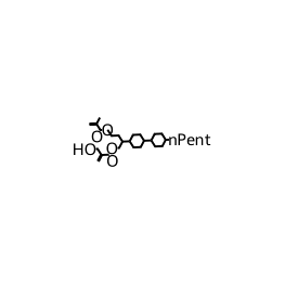 C=C(C)C(=O)OCCC(COC(=O)C(=C)CO)C1CCC(C2CCC(CCCCC)CC2)CC1